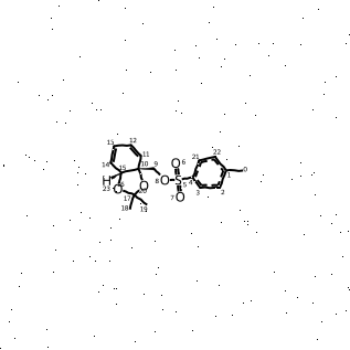 Cc1ccc(S(=O)(=O)OC[C@]23C=CC=C[C@H]2OC(C)(C)O3)cc1